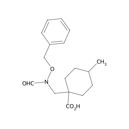 CC1CCC(CN(C=O)OCc2ccccc2)(C(=O)O)CC1